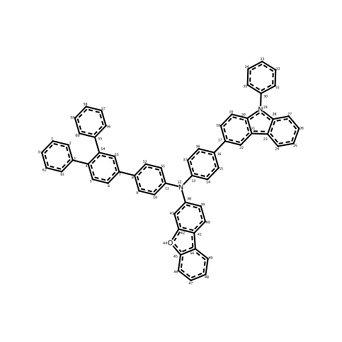 c1ccc(-c2ccc(-c3ccc(N(c4ccc(-c5ccc6c(c5)c5ccccc5n6-c5ccccc5)cc4)c4ccc5c(c4)oc4ccccc45)cc3)cc2-c2ccccc2)cc1